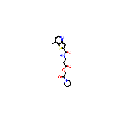 Cc1ccnc2cc(C(=O)NCCC(=O)OCC(=O)N3CCCC3)sc12